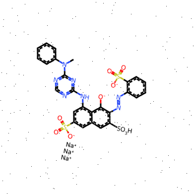 CN(c1ccccc1)c1ncnc(Nc2cc(S(=O)(=O)[O-])cc3cc(S(=O)(=O)O)c(N=Nc4ccccc4S(=O)(=O)[O-])c([O-])c23)n1.[Na+].[Na+].[Na+]